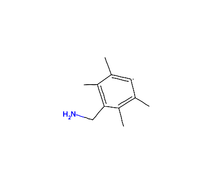 Cc1[c]c(C)c(C)c(CN)c1C